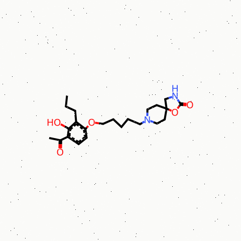 CCCc1c(OCCCCCN2CCC3(CC2)CNC(=O)O3)ccc(C(C)=O)c1O